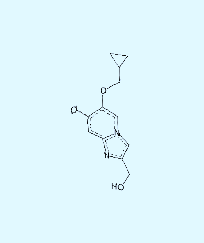 OCc1cn2cc(OCC3CC3)c(Cl)cc2n1